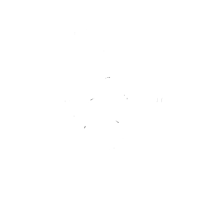 COC(=O)[C@@]1(OCc2ccccc2)C[C@H](OC(C)=O)[C@@H](NC(C)=O)[C@H]([C@H](OC(C)=O)[C@@H](COC(C)=O)OC(C)=O)O1